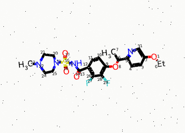 CCOc1ccc(C(C)Oc2ccc(C(=O)NS(=O)(=O)N3CCN(C)CC3)c(F)c2F)nc1